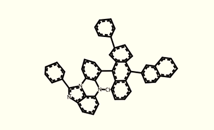 CN1c2c(-c3c4ccccc4c(-c4ccc5ccccc5c4)c4ccc(-c5ccccc5)cc34)cccc2-n2c(-c3ccccc3)nc3cccc1c32